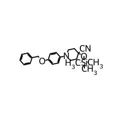 C[Si](C)(C)OC1(C#N)CCN(c2ccc(OCc3ccccc3)cc2)CC1